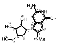 CNc1nc2c(=O)[nH]c(N)cc2n1[C@@H]1O[C@H](CO)C(O)C1O